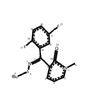 Cn1cccc(/C(=N\SC(C)(C)C)c2cc(F)ccc2F)c1=O